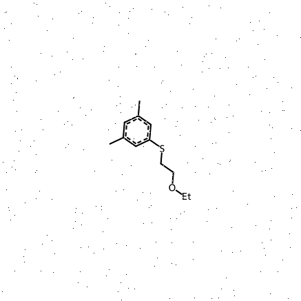 CCOCCSc1cc(C)cc(C)c1